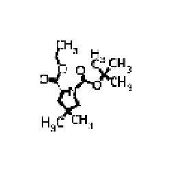 CCOC(=O)[C@H]1CC(C)(C)CN1C(=O)OC(C)(C)C